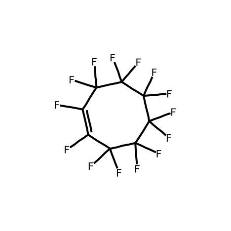 FC1=C(F)C(F)(F)C(F)(F)C(F)(F)C(F)(F)C(F)(F)C1(F)F